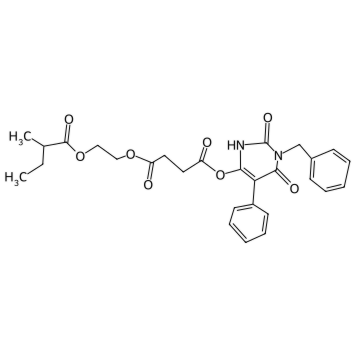 CCC(C)C(=O)OCCOC(=O)CCC(=O)Oc1[nH]c(=O)n(Cc2ccccc2)c(=O)c1-c1ccccc1